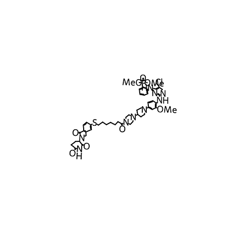 COc1cc(N2CCC(N3CCN(C(=O)CCCCCCSc4ccc5c(c4)CN(C4CCC(=O)NC4=O)C5=O)CC3)CC2)ccc1Nc1ncc(Cl)c(Nc2ccccc2P(=O)(OC)OC)n1